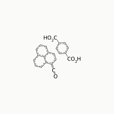 O=C(O)c1ccc(C(=O)O)cc1.O=C=c1ccc2cccc3cccc1c32